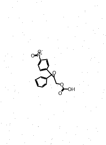 O=C(O)OCC1OC1(c1ccccc1)c1ccc([N+](=O)[O-])cc1